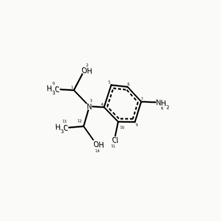 CC(O)N(c1ccc(N)cc1Cl)C(C)O